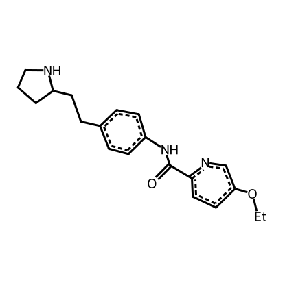 CCOc1ccc(C(=O)Nc2ccc(CCC3CCCN3)cc2)nc1